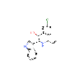 C=CCNC(c1c[nH]c2ccccc12)C(O)c1cccc(Cl)c1